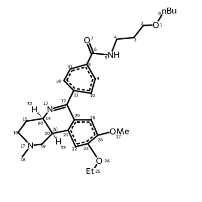 CCCCOCCCNC(=O)c1ccc(C2=N[C@@H]3CCN(C)C[C@@H]3c3cc(OCC)c(OC)cc32)cc1